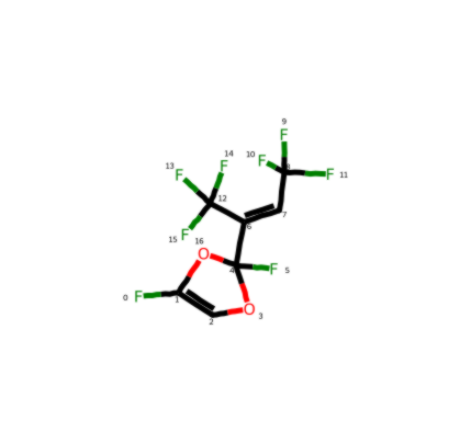 FC1=COC(F)(C(=CC(F)(F)F)C(F)(F)F)O1